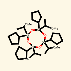 COC(C)[Si]1(C2CCCC2)O[Si](C2CCCC2)(C(C)OC)O[Si](C2CCCC2)(C(C)OC)O[Si](C2CCCC2)(C(C)OC)O1